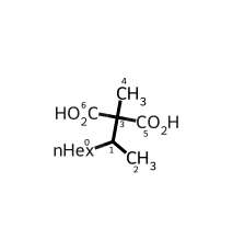 CCCCCCC(C)C(C)(C(=O)O)C(=O)O